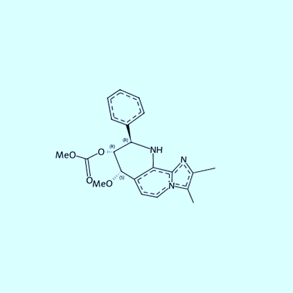 COC(=O)O[C@@H]1[C@@H](c2ccccc2)Nc2c(ccn3c(C)c(C)nc23)[C@@H]1OC